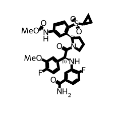 COC(=O)Nc1ccc(S(=O)(=O)C2CC2)c([C@H]2CCCN2C(=O)[C@@H](Nc2cc(C(N)=O)ccc2F)c2ccc(F)c(OC)c2)c1